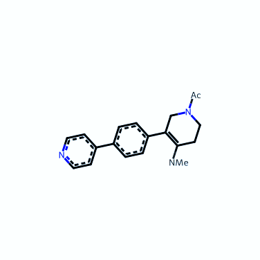 CNC1=C(c2ccc(-c3ccncc3)cc2)CN(C(C)=O)CC1